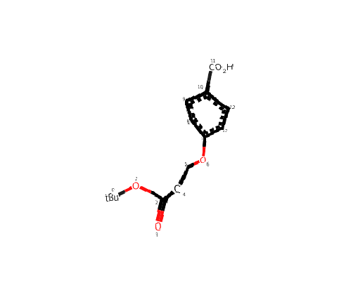 CC(C)(C)OC(=O)CCOc1ccc(C(=O)O)cc1